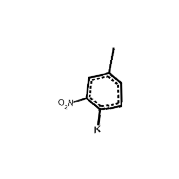 Cc1cc[c]([K])c([N+](=O)[O-])c1